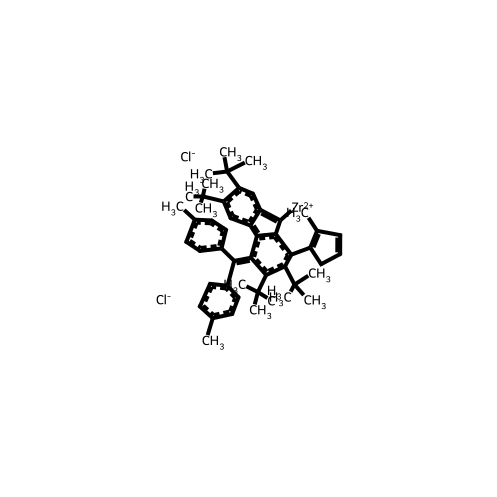 CC1=C(c2c(C(C)(C)C)c(C(C)(C)C)c(=C(c3ccc(C)cc3)c3ccc(C)cc3)c3c2[C]([Zr+2])=c2cc(C(C)(C)C)c(C(C)(C)C)cc2=3)CC=C1.[Cl-].[Cl-]